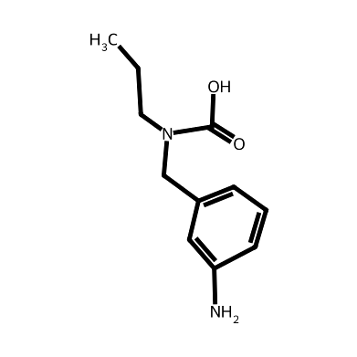 CCCN(Cc1cccc(N)c1)C(=O)O